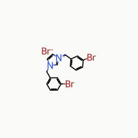 Brc1cccc(Cn2cc[n+](Cc3cccc(Br)c3)c2)c1.[Br-]